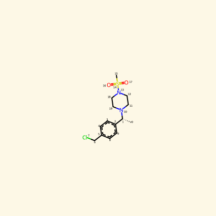 C[C@H](c1ccc(CCl)cc1)N1CCN(S(C)(=O)=O)CC1